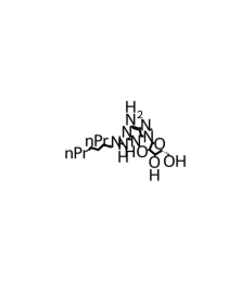 CCCC(CCC)CCC=NNc1nc(N)c2ncn([C@@H]3O[C@H](CO)[C@@H](O)[C@H]3O)c2n1